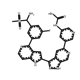 CCCCC(=O)Nc1cncc(-c2cc3c(-c4cc5c(-c6cc(F)cc(C(N)S(C)(=O)=O)c6)nccc5[nH]4)n[nH]c3cn2)c1